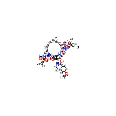 CC(C)Oc1ccc2c(O[C@@H]3C[C@H]4C(=O)N[C@]5(C(=O)NS(=O)(=O)C6CC6)CC5/C=C\CC[C@@H](C)C[C@@H](C)[C@H](NC(=O)OC(C)(C)C(F)(F)F)C(=O)N4C3)nccc2c1